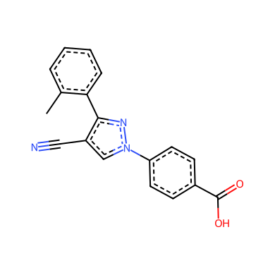 Cc1ccccc1-c1nn(-c2ccc(C(=O)O)cc2)cc1C#N